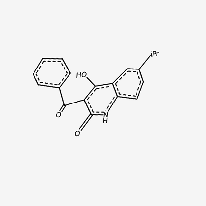 CC(C)c1ccc2[nH]c(=O)c(C(=O)c3ccccc3)c(O)c2c1